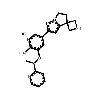 CC(Oc1cc(-c2cc3n(n2)CCC32CNC2)cnc1N)c1ccccn1.Cl